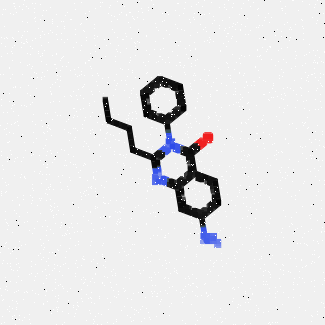 CCCCc1nc2cc(N)ccc2c(=O)n1-c1ccccc1